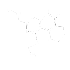 CCOc1cc(CNC)cc2[nH]c(=O)c3c(c12)NCCC3